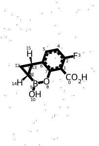 O=C(O)c1c(F)ccc2c1OB(O)[C@@H]1C[C@H]21